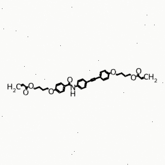 C=CC(=O)OCCCCOc1ccc(C#Cc2ccc(NC(=O)c3ccc(OCCCCOC(=O)C=C)cc3)cc2)cc1